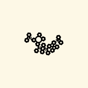 c1ccc(N(c2ccc3c(c2)Cc2ccccc2-c2ccccc2Cc2cc(-n4c5ccccc5c5ccccc54)ccc2-3)c2c3ccccc3c(N(c3ccccc3)c3ccc4c(c3)C3(c5ccccc5-c5ccccc53)c3cc(-n5c6ccccc6c6ccccc65)ccc3-4)c3ccccc23)cc1